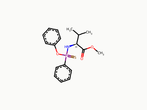 COC(=O)[C@@H](NP(=S)(Oc1ccccc1)c1ccccc1)C(C)C